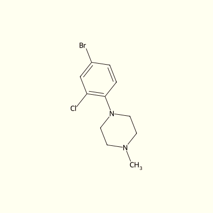 CN1CCN(c2ccc(Br)cc2Cl)CC1